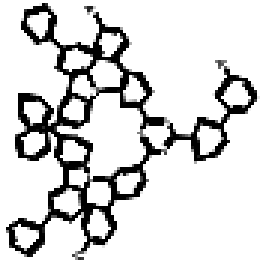 N#Cc1ccc(-c2ccc(-c3nc(-c4cccc(-c5cccc(C#N)c5)c4)nc(-c4ccc(-c5ccc(C#N)cc5)c(-n5c6ccc(-c7ccccc7)cc6c6cc(-c7ccccc7)ccc65)c4)n3)cc2-n2c3ccc(-c4ccccc4)cc3c3cc(-c4ccccc4)ccc32)cc1